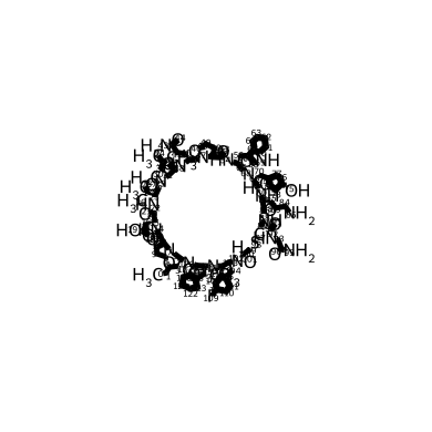 CCCC[C@H]1C(=O)N2CCC[C@@H]2C(=O)N[C@@H](CC(=O)O)C(=O)N[C@@H](C(C)C)C(=O)N(C)[C@@H](CC(C)C)C(=O)N[C@@H](CCC(N)=O)C(=O)N2CCC[C@@H]2C(=O)N[C@@H](Cc2c[nH]c3ccccc23)C(=O)N[C@@H](Cc2ccc(O)cc2)C(=O)N[C@@H](CCCN)C(=O)N[C@H](C(=O)NCC(N)=O)CSCC(=O)N[C@@H](Cc2ccc(F)cc2)C(=O)N(C)[C@@H](Cc2ccccc2)C(=O)N1C